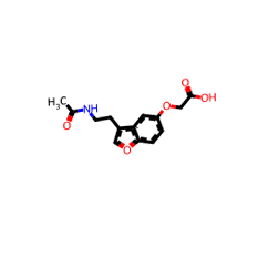 CC(=O)NCCc1coc2ccc(OCC(=O)O)cc12